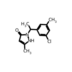 Cc1cc(Cl)cc(C(C)n2[nH]c(C)cc2=O)c1